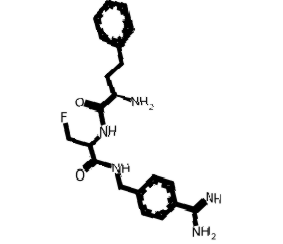 N=C(N)c1ccc(CNC(=O)C(CF)NC(=O)[C@H](N)CCc2ccccc2)cc1